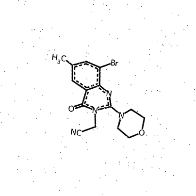 Cc1cc(Br)c2nc(N3CCOCC3)n(CC#N)c(=O)c2c1